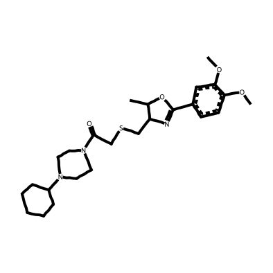 COc1ccc(C2=NC(CSCC(=O)N3CCN(C4CCCCC4)CC3)C(C)O2)cc1OC